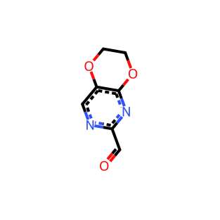 O=Cc1ncc2c(n1)OCCO2